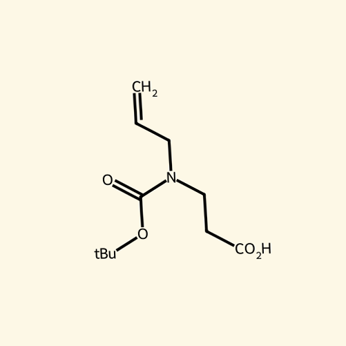 C=CCN(CCC(=O)O)C(=O)OC(C)(C)C